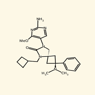 COc1nc(N)ncc1N1C[C@]2(C[C@](c3ccccc3)(N(C)C)C2)N(CC2CCC2)C1=O